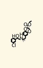 CCOC(=O)[C@@H]1COc2cc(C[C@H](C)NCC(O)c3cccc(Cl)c3)ccc2O1